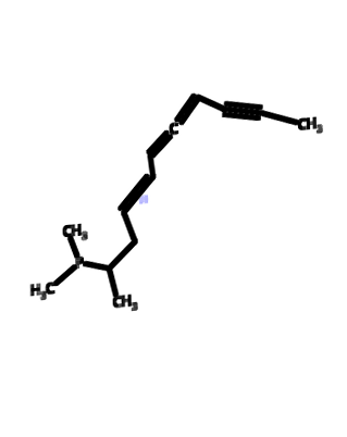 CC#CC=C=C/C=C/CC(C)P(C)C